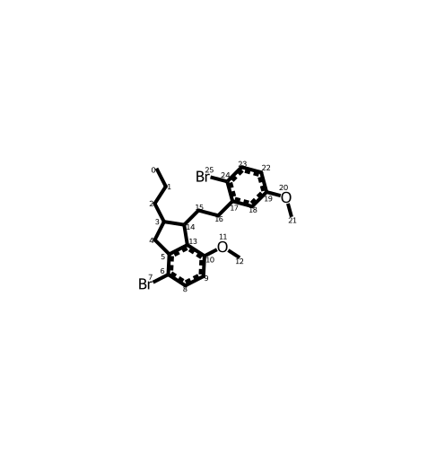 CCCC1Cc2c(Br)ccc(OC)c2C1CCc1cc(OC)ccc1Br